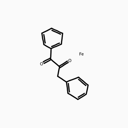 O=C(Cc1ccccc1)C(=O)c1ccccc1.[Fe]